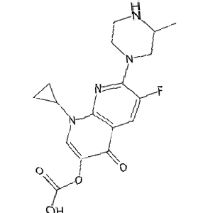 CC1CN(c2nc3c(cc2F)c(=O)c(OC(=O)O)cn3C2CC2)CCN1